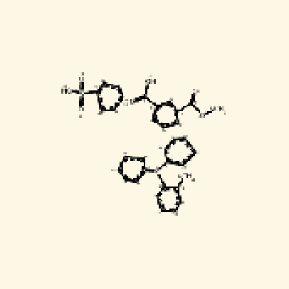 COC(=O)c1cccc(C(=O)O)c1.Cc1ccccc1P(c1ccccc1)c1ccccc1.O=S(=O)(O)c1ccccc1